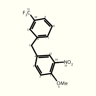 COc1ccc(Cc2cccc(C(F)(F)F)c2)cc1[N+](=O)[O-]